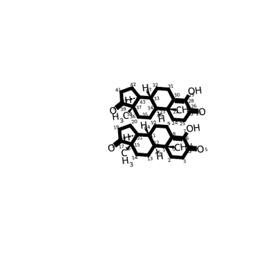 C[C@]12CCC(=O)C(O)=C1CC[C@@H]1[C@@H]2CC[C@]2(C)C(=O)CC[C@@H]12.C[C@]12CCC(=O)C(O)=C1CC[C@@H]1[C@@H]2CC[C@]2(C)C(=O)CC[C@@H]12